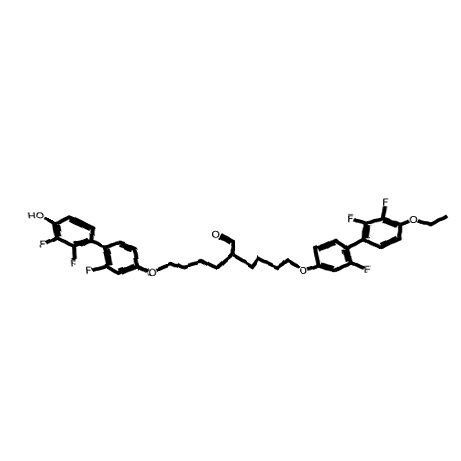 CCOc1ccc(-c2ccc(OCCCCC(C=O)CCCCOc3ccc(-c4ccc(O)c(F)c4F)c(F)c3)cc2F)c(F)c1F